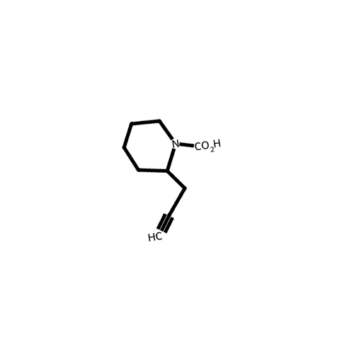 C#CCC1CCCCN1C(=O)O